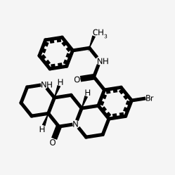 C[C@@H](NC(=O)c1cc(Br)cc2c1[C@H]1C[C@H]3NCCC[C@H]3C(=O)N1CC2)c1ccccc1